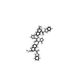 CC1CCCN1C(Cc1ccc2nc(N)nc(C(=O)N3Cc4ccccc4C3)c2c1)C(=O)C(Cc1ccc2nc(N)nc(C(=O)N3Cc4ccccc4C3)c2c1)N1CCCC1C